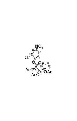 CC(=O)O[C@@H]1[C@@H](OC(C)=O)[C@@H](Oc2ccc([N+](=O)[O-])cc2Cl)O[C@H](CF)[C@H]1OC(C)=O